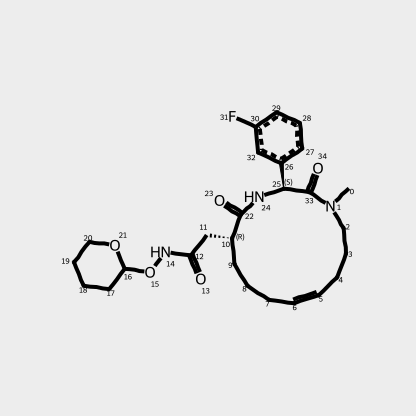 CN1CCCC=CCCC[C@H](CC(=O)NOC2CCCCO2)C(=O)N[C@@H](c2cccc(F)c2)C1=O